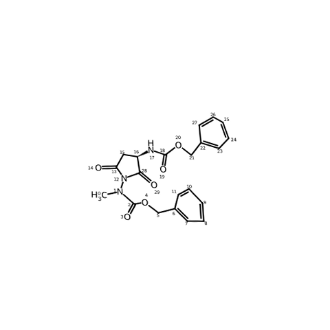 CN(C(=O)OCc1ccccc1)N1C(=O)C[C@@H](NC(=O)OCc2ccccc2)C1=O